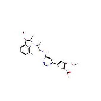 CCOc1cc(-c2cc(NCC(C)n3c(C)c(OC)c4cccc(F)c43)ncn2)sc1C(=O)O